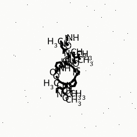 CCn1c(-c2cccnc2[C@H](C)OC)c2c3cc(ccc31)-c1csc(n1)C[C@H](NC(=O)C(C(C)C)N(C)C(=O)N1CC(CN(C)C(=O)[C@H]3CN3)C1)C(=O)N1CCC[C@H](N1)C(=O)OCC(C)(C)C2